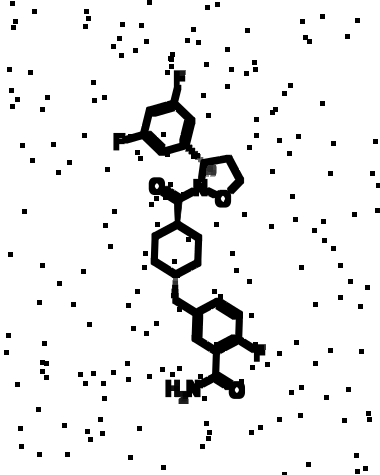 NC(=O)c1cc(C[C@H]2CC[C@H](C(=O)N3OCC[C@H]3c3cc(F)cc(F)c3)CC2)ccc1F